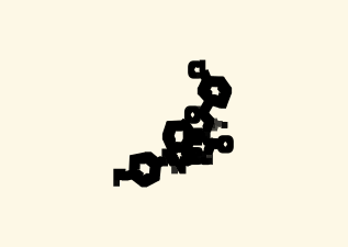 C[C@H](NC(=O)C(C)(C)C)[C@H](Oc1ccc2c(cnn2-c2ccc(F)cc2)c1)c1cccc(Cl)c1